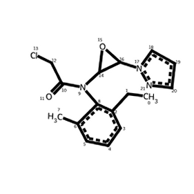 CCc1cccc(C)c1N(C(=O)CCl)C1OC1n1cccn1